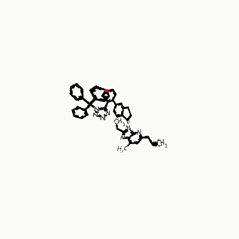 C=CCc1cc(C)c2nc(CC)n([C@H]3CCc4cc(-c5ccccc5-c5nnnn5C(c5ccccc5)(c5ccccc5)c5ccccc5)ccc43)c2n1